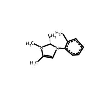 CC1=CN(c2ccccc2C)[C@@H](C)N1C